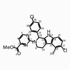 COC(=O)c1ccnc(N2CCc3c([nH]c4ccc(Cl)c(F)c34)C2c2ccc(Cl)cc2)n1